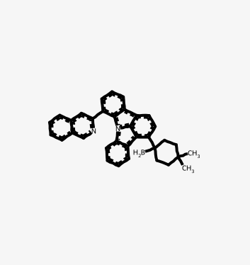 BC1(c2ccc3c4cccc(-c5cc6ccccc6cn5)c4n4c5ccccc5c2c34)CCC(C)(C)CC1